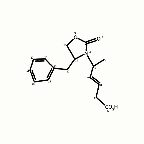 CC(C=CCC(=O)O)N1C(=O)OCC1Cc1ccccc1